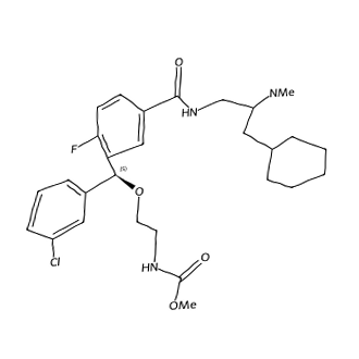 CNC(CNC(=O)c1ccc(F)c([C@@H](OCCNC(=O)OC)c2cccc(Cl)c2)c1)CC1CCCCC1